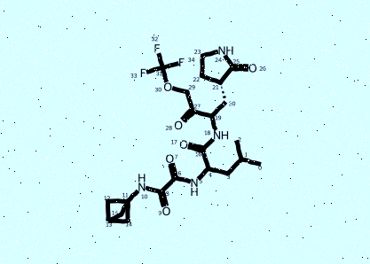 CC(C)CC(NC(=O)C(=O)NC12CC(C1)C2)C(=O)NC(C[C@@H]1CCNC1=O)C(=O)COC(F)(F)F